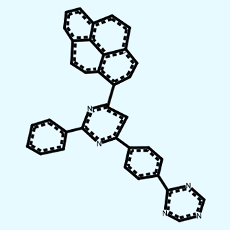 c1ccc(-c2nc(-c3ccc(-c4ncncn4)cc3)cc(-c3ccc4ccc5cccc6ccc3c4c56)n2)cc1